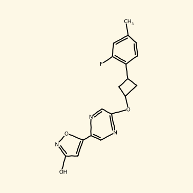 Cc1ccc(C2CC(Oc3cnc(-c4cc(O)no4)cn3)C2)c(F)c1